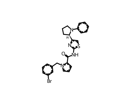 O=C(Nc1nc([C@H]2CCCN2c2ccccc2)cs1)c1cccn1Cc1cccc(Br)c1